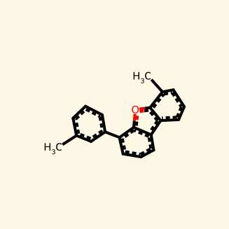 Cc1cccc(-c2cccc3c2oc2c(C)cccc23)c1